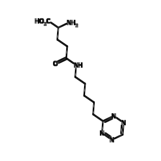 NC(CCC(=O)NCCCCCc1nncnn1)C(=O)O